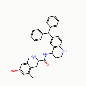 Cc1cc(O)cc(C)c1CC(N)C(=O)NC1CCNc2ccc(C(c3ccccc3)c3ccccc3)cc21